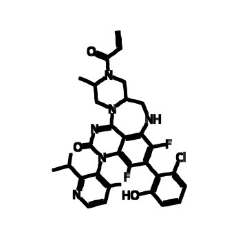 C=CC(=O)N1CC2CNc3c(F)c(-c4c(O)cccc4Cl)c(F)c4c3c(nc(=O)n4-c3c(C)ccnc3C(C)C)N2CC1C